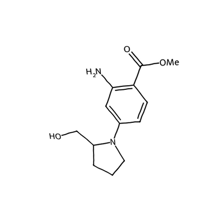 COC(=O)c1ccc(N2CCCC2CO)cc1N